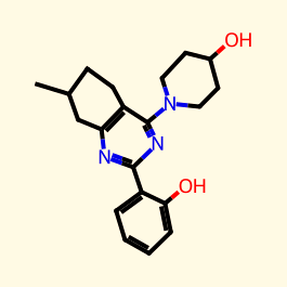 CC1CCc2c(nc(-c3ccccc3O)nc2N2CCC(O)CC2)C1